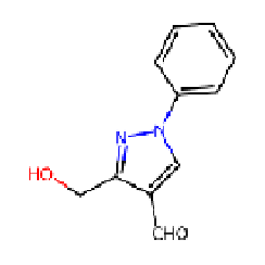 O=Cc1cn(-c2ccccc2)nc1CO